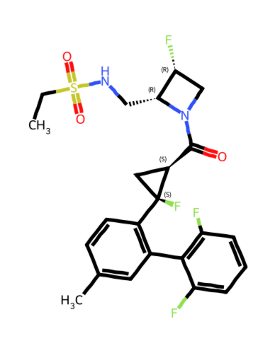 CCS(=O)(=O)NC[C@@H]1[C@H](F)CN1C(=O)[C@@H]1C[C@@]1(F)c1ccc(C)cc1-c1c(F)cccc1F